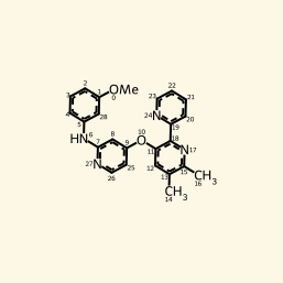 COc1cccc(Nc2cc(Oc3cc(C)c(C)nc3-c3ccccn3)ccn2)c1